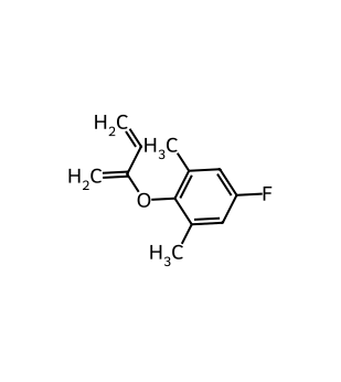 C=CC(=C)Oc1c(C)cc(F)cc1C